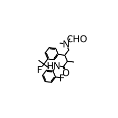 CC(C(=O)Nc1ccccc1F)C(CN(C)C=O)c1cccc(C(C)(C)F)c1